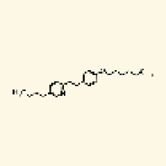 CCCCCCOc1ccc(CCc2ccc(CCCC)cn2)cc1